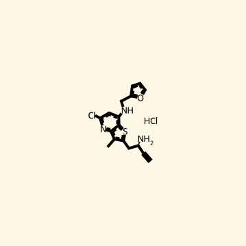 C#C[C@@H](N)Cc1sc2c(NCc3ccco3)cc(Cl)nc2c1C.Cl